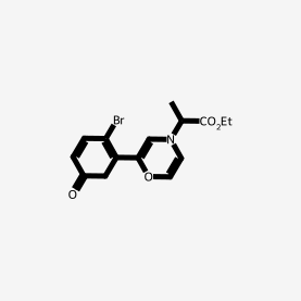 CCOC(=O)C(C)N1C=COC(C2=C(Br)C=CC(=O)C2)=C1